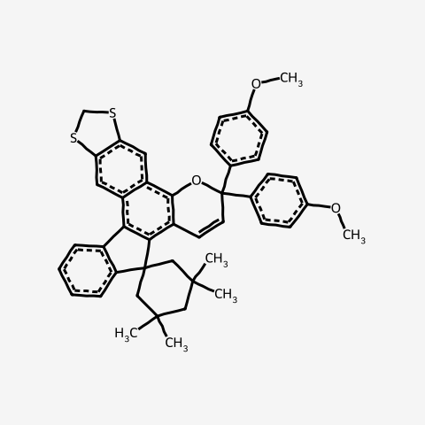 COc1ccc(C2(c3ccc(OC)cc3)C=Cc3c4c(c5cc6c(cc5c3O2)SCS6)-c2ccccc2C42CC(C)(C)CC(C)(C)C2)cc1